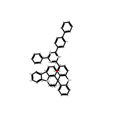 c1ccc(-c2ccc(-c3nc(-c4ccccc4)nc(-c4ccc5c(c4)C4(c6ccccc6S5)c5ccccc5-n5c6ccccc6c6cccc4c65)n3)cc2)cc1